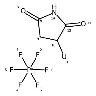 F[P-](F)(F)(F)(F)F.O=C1C[CH]([U])C(=O)N1